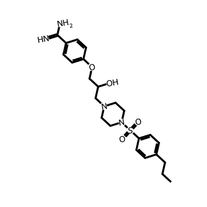 CCCc1ccc(S(=O)(=O)N2CCN(CC(O)COc3ccc(C(=N)N)cc3)CC2)cc1